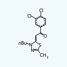 CCCCN1N=C(C)SC1=CC(=O)c1ccc(Cl)c(Cl)c1